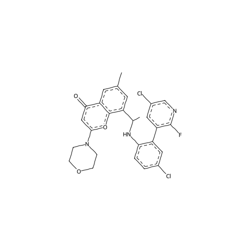 Cc1cc(C(C)Nc2ccc(Cl)cc2-c2cc(Cl)cnc2F)c2oc(N3CCOCC3)cc(=O)c2c1